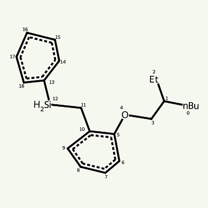 CCCCC(CC)COc1ccccc1C[SiH2]c1ccccc1